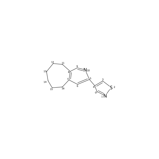 [c]1nscc1-c1cc2c(cn1)CCCCCC2